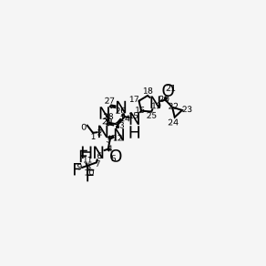 CCn1c(C(=O)NCC(F)(F)F)nc2c(NC3CCN(C(=O)C4CC4)C3)ncnc21